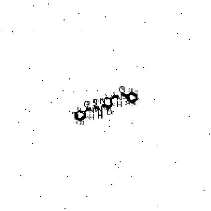 O=C(NCc1cnc(NC(=S)NC(=O)c2ccccc2)c(Br)c1)c1ccccc1